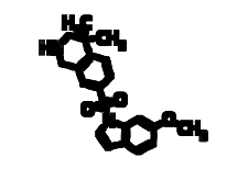 COc1ccc2ccn(S(=O)(=O)c3ccc4c(c3)CNCC4(C)C)c2c1